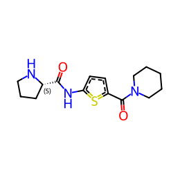 O=C(Nc1ccc(C(=O)N2CCCCC2)s1)[C@@H]1CCCN1